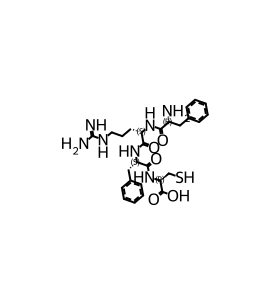 N=C(N)NCCC[C@H](NC(=O)[C@H](N)Cc1ccccc1)C(=O)N[C@@H](Cc1ccccc1)C(=O)N[C@@H](CS)C(=O)O